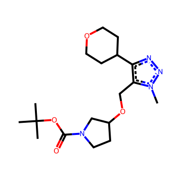 Cn1nnc(C2CCOCC2)c1COC1CCN(C(=O)OC(C)(C)C)C1